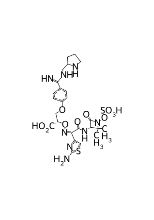 CC1(C)[C@H](NC(=O)/C(=N\O[C@@H](COc2ccc(C(=N)NCC3CCCN3)cc2)C(=O)O)c2csc(N)n2)C(=O)N1OS(=O)(=O)O